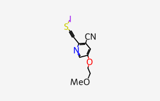 COCCOc1cnc(C#CSI)c(C#N)c1